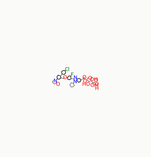 O=C[C@H](OC(=O)c1ccc2c(c1)nc(-c1ccc(OCc3cc(N4CCCC4=O)ccc3-c3ccc(Cl)cc3)cc1F)n2C1CCCCC1)[C@@H](O)[C@H](O)[C@H](O)C(=O)O